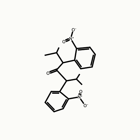 CC(C)C(C(=O)C(c1ccccc1[N+](=O)[O-])C(C)C)c1ccccc1[N+](=O)[O-]